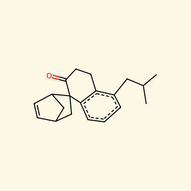 CC(C)Cc1cccc2c1CCC(=O)C21CC2C=CC1C2